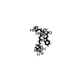 CC(=O)C(Cc1c[nH]c2ccccc12)NC(=O)C(Cc1c[nH]cn1)NC(=O)CCCC[C@@H]1SC[C@@H]2NC(=O)N[C@@H]21